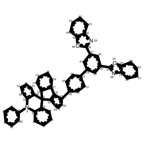 c1ccc(N2c3ccccc3C3(c4ccccc4-c4c(-c5ccc(-c6cc(-c7nc8ccccc8o7)cc(-c7nc8ccccc8o7)c6)cc5)cccc43)c3ccccc32)cc1